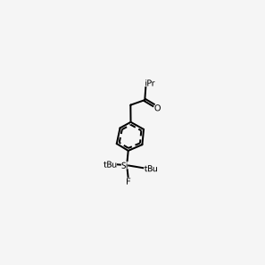 CC(C)C(=O)Cc1ccc([Si](F)(C(C)(C)C)C(C)(C)C)cc1